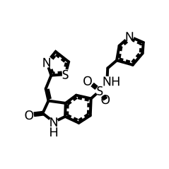 O=C1Nc2ccc(S(=O)(=O)NCc3cccnc3)cc2/C1=C\c1nccs1